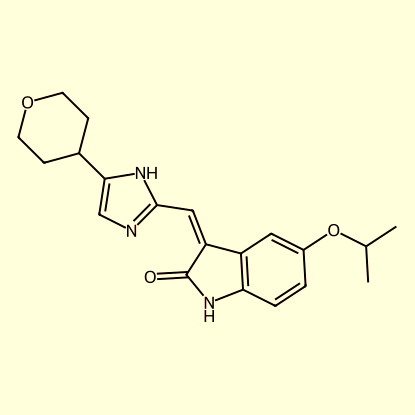 CC(C)Oc1ccc2c(c1)C(=Cc1ncc(C3CCOCC3)[nH]1)C(=O)N2